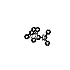 c1ccc(-c2cc(-c3ccccc3)nc(-c3ccnc(-n4c5cccc6ccc7cc8c9ccccc9n(-c9ccccc9)c8c4c7c65)c3)n2)cc1